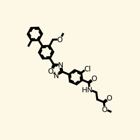 COCc1cc(-c2nc(-c3ccc(C(=O)NCCC(=O)OC)c(Cl)c3)no2)ccc1-c1ccccc1C